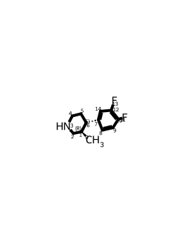 C[C@H]1CNCC[C@@H]1c1ccc(F)c(F)c1